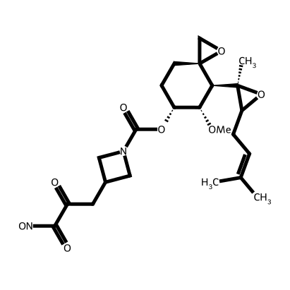 CO[C@@H]1[C@H](OC(=O)N2CC(CC(=O)C(=O)N=O)C2)CC[C@]2(CO2)[C@H]1[C@@]1(C)OC1CC=C(C)C